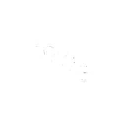 NS(=O)(=O)Oc1ccc(-c2ccc(Br)cc2)cc1